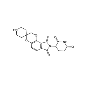 O=C1CCC(N2C(=O)c3ccc4c(c3C2=O)OCC2(CCNCC2)O4)C(=O)N1